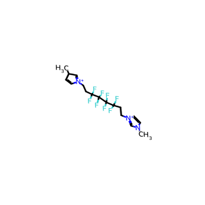 CC1C=C[N+](CCC(F)(F)C(F)(F)C(F)(F)C(F)(F)CC[n+]2ccn(C)c2)=C1